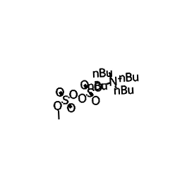 CCCC[N+](CCCC)(CCCC)CCCC.O=S(=O)([O-])OOS(=O)(=O)OI